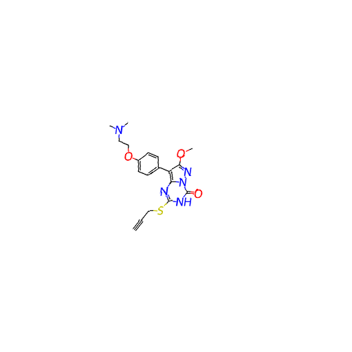 C#CCSc1nc2c(-c3ccc(OCCN(C)C)cc3)c(OC)nn2c(=O)[nH]1